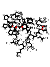 CCC(C)[C@H](NC(=O)[C@H](Cc1ccccc1)NC(=O)[C@H](CC(C)C)NC)C(=O)N[C@@H](CCC(=O)O)C(=O)N[C@@H](Cc1c[nH]c2ccccc12)C(=O)N[C@@H](CC(C)C)C(=O)N[C@@H](CCCCN)C(=O)N[C@@H](CC(N)=O)C(=O)NCC(=O)NCC(=O)N1CCC[C@H]1C(=O)N[C@@H](CO)C(=O)N[C@@H](CO)C(=O)NCC(=O)N[C@@H](C)C(=O)N1CCC[C@H]1C(=O)N1CCC[C@H]1C(=O)N1CCC[C@H]1C(=O)N[C@@H](CO)C(N)=O